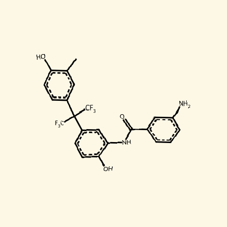 Cc1cc(C(c2ccc(O)c(NC(=O)c3cccc(N)c3)c2)(C(F)(F)F)C(F)(F)F)ccc1O